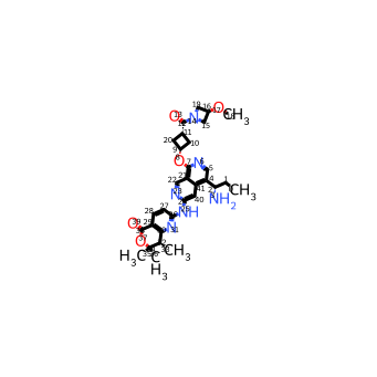 CC[C@H](N)c1cnc(O[C@H]2C[C@@H](C(=O)N3CC(OC)C3)C2)c2cnc(Nc3ccc4c(n3)[C@@H](C)C(C)(C)OC4=O)cc12